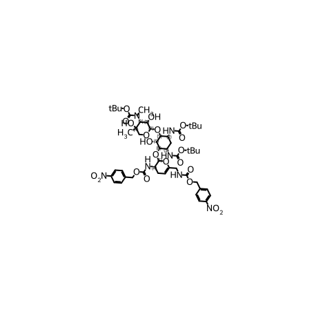 CN(C(=O)OC(C)(C)C)[C@@H]1[C@@H](O)[C@@H](O[C@@H]2[C@@H](O)[C@H](O[C@H]3OC(CNC(=O)OCc4ccc([N+](=O)[O-])cc4)=CC[C@H]3NC(=O)OCc3ccc([N+](=O)[O-])cc3)[C@@H](NC(=O)OC(C)(C)C)C[C@H]2NC(=O)OC(C)(C)C)OC[C@]1(C)O